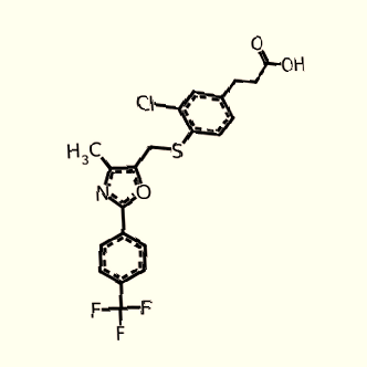 Cc1nc(-c2ccc(C(F)(F)F)cc2)oc1CSc1ccc(CCC(=O)O)cc1Cl